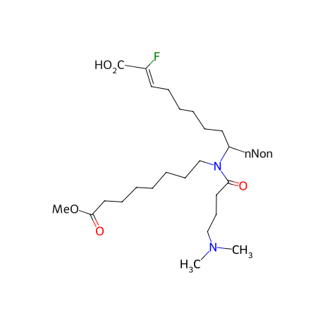 CCCCCCCCCC(CCCCCC=C(F)C(=O)O)N(CCCCCCCC(=O)OC)C(=O)CCCN(C)C